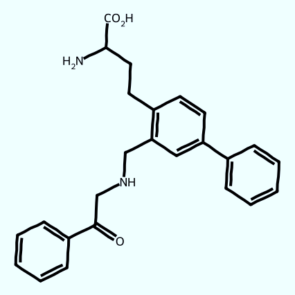 NC(CCc1ccc(-c2ccccc2)cc1CNCC(=O)c1ccccc1)C(=O)O